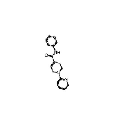 O=C(Nc1ccccc1)C1=CCN(c2ccccn2)CC1